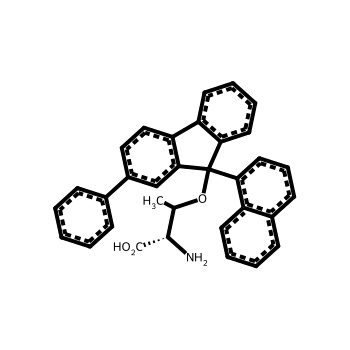 CC(OC1(c2cccc3ccccc23)c2ccccc2-c2ccc(-c3ccccc3)cc21)[C@H](N)C(=O)O